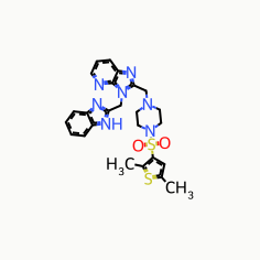 Cc1cc(S(=O)(=O)N2CCN(Cc3nc4cccnc4n3Cc3nc4ccccc4[nH]3)CC2)c(C)s1